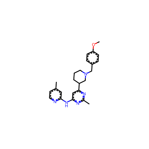 COc1ccc(CN2CCCC(c3cc(Nc4cc(C)ccn4)nc(C)n3)C2)cc1